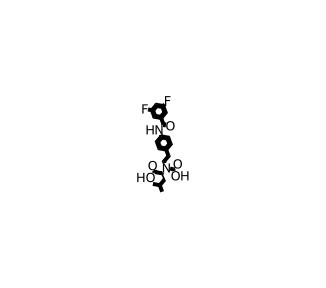 CC(C)C[C@@H](C(=O)O)N(CCc1ccc(NC(=O)c2cc(F)cc(F)c2)cc1)C(=O)O